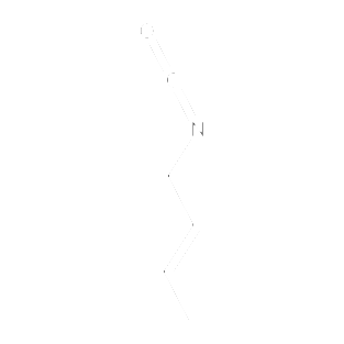 C/C=C/CN=C=O